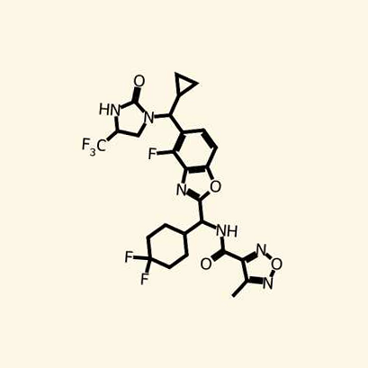 Cc1nonc1C(=O)NC(c1nc2c(F)c(C(C3CC3)N3CC(C(F)(F)F)NC3=O)ccc2o1)C1CCC(F)(F)CC1